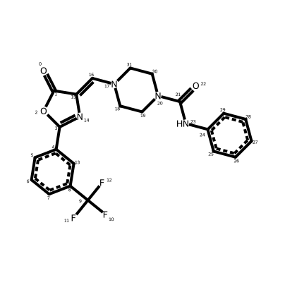 O=C1OC(c2cccc(C(F)(F)F)c2)=NC1=CN1CCN(C(=O)Nc2ccccc2)CC1